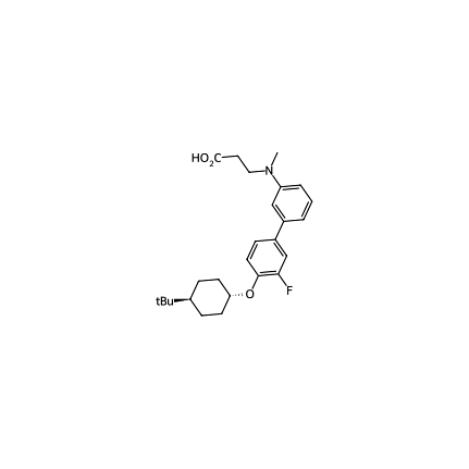 CN(CCC(=O)O)c1cccc(-c2ccc(O[C@H]3CC[C@H](C(C)(C)C)CC3)c(F)c2)c1